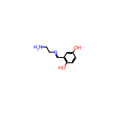 NCCN=Cc1cc(O)ccc1O